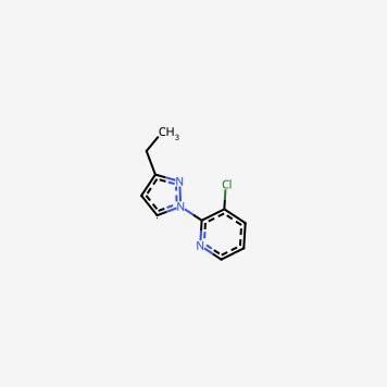 CCc1c[c]n(-c2ncccc2Cl)n1